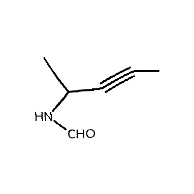 CC#CC(C)NC=O